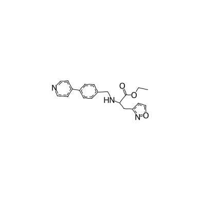 CCOC(=O)C(Cc1ccon1)NCc1ccc(-c2ccncc2)cc1